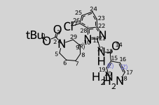 CC(C)(C)OC(=O)N1CCCC[C@@H](n2c(NC(=O)C(/C=C\N)=C/N)nc3cccc(Cl)c32)C1